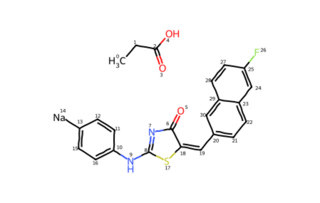 CCC(=O)O.O=C1N=C(Nc2cc[c]([Na])cc2)SC1=Cc1ccc2cc(F)ccc2c1